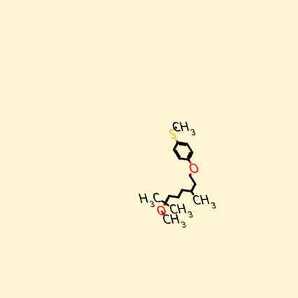 COC(C)(C)CCCC(C)CCOc1ccc(SC)cc1